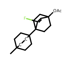 CC(=O)OC12C=C(F)C(C34CCC(C)(CC3)CC4)(CC1)CC2